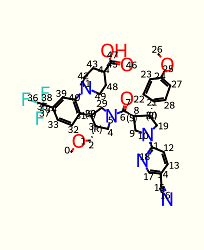 COC[C@H]1CN(C(=O)[C@@H]2CN(c3ccc(C#N)cn3)C[C@H]2c2ccc(OC)cc2)C[C@@H]1c1ccc(C(F)(F)F)cc1N1CCC(C(=O)O)CC1